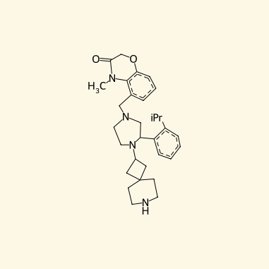 CC(C)c1ccccc1C1CN(Cc2cccc3c2N(C)C(=O)CO3)CCN1C1CC2(CCNCC2)C1